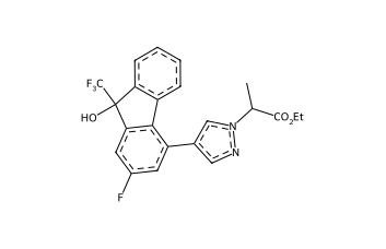 CCOC(=O)C(C)n1cc(-c2cc(F)cc3c2-c2ccccc2C3(O)C(F)(F)F)cn1